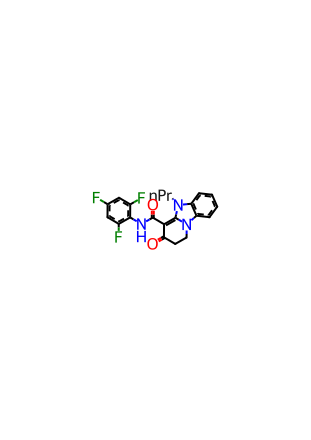 CCCN1C2=C(C(=O)Nc3c(F)cc(F)cc3F)C(=O)CCN2c2ccccc21